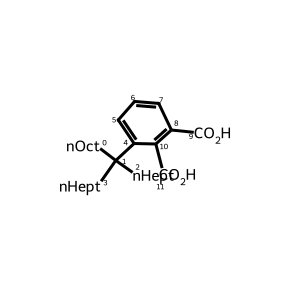 CCCCCCCCC(CCCCCCC)(CCCCCCC)c1cccc(C(=O)O)c1C(=O)O